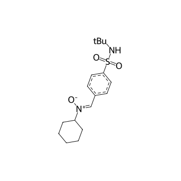 CC(C)(C)NS(=O)(=O)c1ccc(C=[N+]([O-])C2CCCCC2)cc1